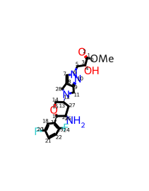 COC(=O)[C@@H](O)Cn1cc2c(n1)CN([C@H]1CO[C@H](c3cc(F)ccc3F)[C@@H](N)C1)C2